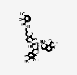 O=C(NCCCN1CCN(C(=O)N[C@H](C(=O)N[C@H]2Cc3ccc(F)c(C(=O)O)c3OB2O)c2cc(F)c(O)c(O)c2Cl)C(=O)C1=O)c1cccc(O)c1Cl